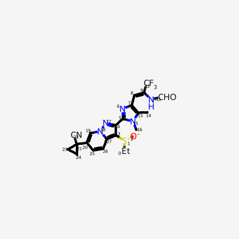 CC[S+]([O-])c1c(-c2nc(/C=C(\NC=O)C(F)(F)F)c(C)n2C)nn2cc(C3(C#N)CC3)ccc12